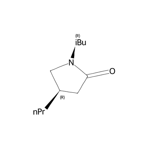 CCC[C@@H]1CC(=O)N([C@H](C)CC)C1